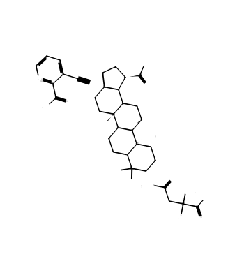 C=C(C)[C@@H]1CC[C@]2(C#Cc3cccnc3C(=O)O)CC[C@]3(C)C(CCC4[C@@]5(C)CC[C@H](OC(=O)CC(C)(C)C(=O)O)C(C)(C)C5CC[C@]43C)C12